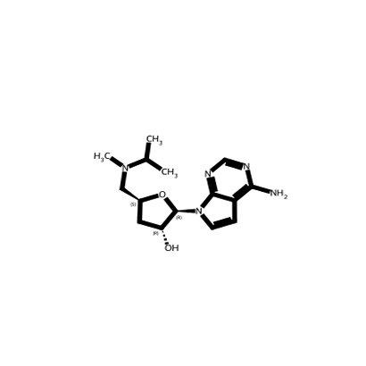 CC(C)N(C)C[C@@H]1C[C@@H](O)[C@H](n2ccc3c(N)ncnc32)O1